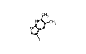 Cc1cc2c(I)csc2nc1C